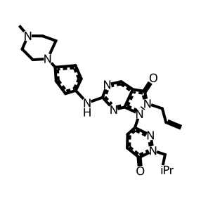 C=CCn1c(=O)c2cnc(Nc3ccc(N4CCN(C)CC4)cc3)nc2n1-c1ccc(=O)n(CC(C)C)n1